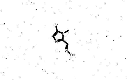 Cn1c(Br)cnc1C=NO